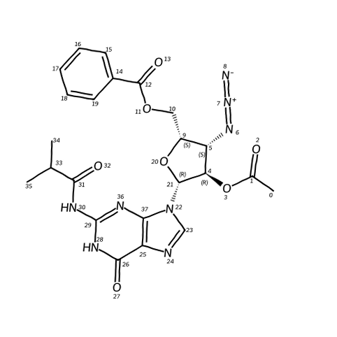 CC(=O)O[C@@H]1[C@@H](N=[N+]=[N-])[C@@H](COC(=O)c2ccccc2)O[C@H]1n1cnc2c(=O)[nH]c(NC(=O)C(C)C)nc21